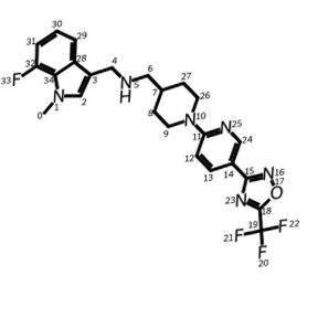 Cn1cc(CNCC2CCN(c3ccc(-c4noc(C(F)(F)F)n4)cn3)CC2)c2cccc(F)c21